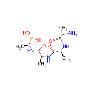 C[C@H](N)C(=O)N[C@@H](C)C(=O)N[C@@H](C)C(=O)N[C@@H](C)P(O)O